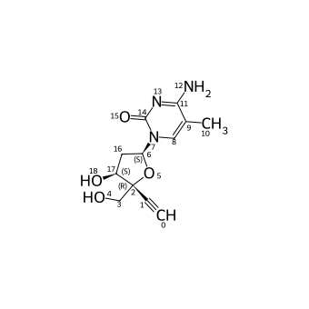 C#C[C@]1(CO)O[C@H](n2cc(C)c(N)nc2=O)C[C@@H]1O